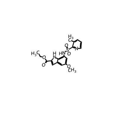 CCOC(=O)c1cc2cc(OC)cc(NS(=O)(=O)c3ncccc3C)c2[nH]1